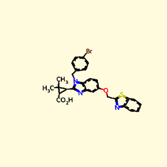 CC1(C)[C@H](C(=O)O)[C@@H]1c1nc2cc(OCc3nc4ccccc4s3)ccc2n1Cc1ccc(Br)cc1